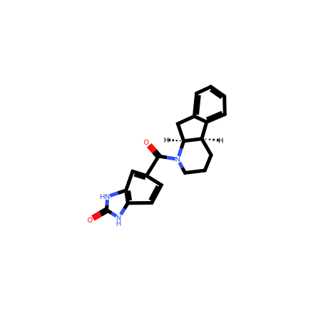 O=C(c1ccc2[nH]c(=O)[nH]c2c1)N1CCC[C@@H]2c3ccccc3C[C@@H]21